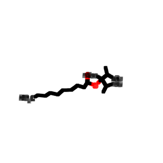 CCCCCCCCCC(OC(=O)CCCCCCCCC(=O)O)(C(C)CCCC)C(C)CCCC